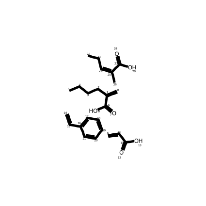 C=C(CCCC)C(=O)O.C=CC(=O)O.C=Cc1ccccc1.CCC=C(C)C(=O)O